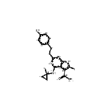 Cc1oc2nc(CCc3ccc(F)cc3)nc(NC3(C)CC3)c2c1C(N)=O